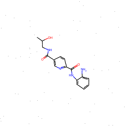 CC(O)CNC(=O)c1ccc(C(=O)Nc2ccccc2N)nc1